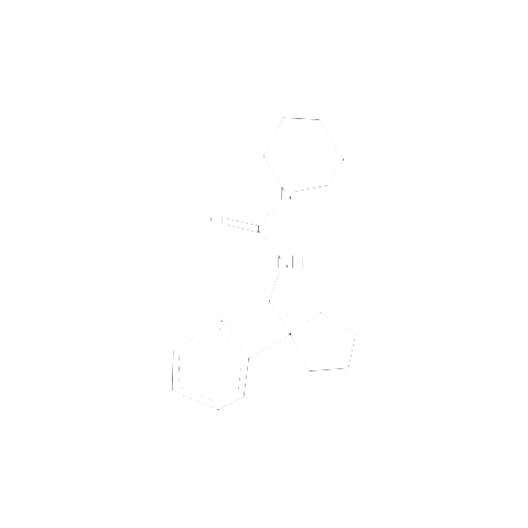 O=C(NCC1(c2ccccc2)CCCC1)N1CCCCC1